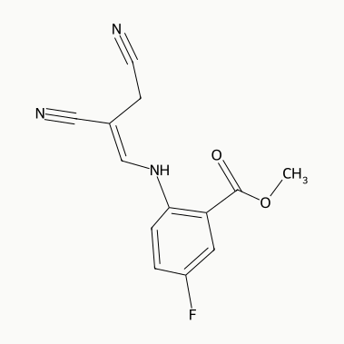 COC(=O)c1cc(F)ccc1N/C=C(/C#N)CC#N